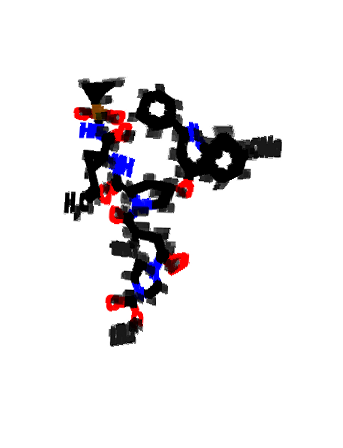 C=CC1C[C@]1(NC(=O)[C@@H]1C[C@@H](Oc2cc(-c3ccccc3)nc3cc(OC)ccc23)CN1C(=O)[C@@H](CC(=O)N1CCN(C(=O)OC(C)(C)C)CC1)C(C)(C)C)C(=O)NS(=O)(=O)C1CC1